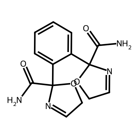 NC(=O)C1(c2ccccc2C2(C(N)=O)N=CCO2)N=CCO1